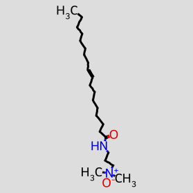 CCCCCCCCC=CCCCCCCCC(=O)NCCC[N+](C)(C)[O-]